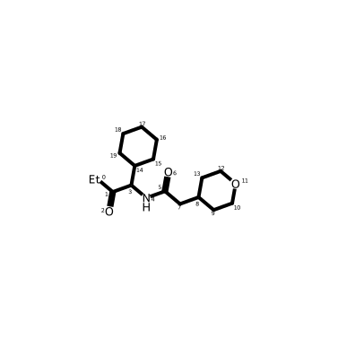 CCC(=O)C(NC(=O)CC1CCOCC1)C1CCCCC1